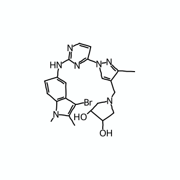 Cc1nn(-c2ccnc(Nc3ccc4c(c3)c(Br)c(C)n4C)n2)cc1CN1CC(O)C(O)C1